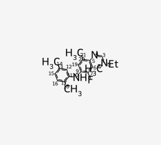 CCN(C)/C=N\c1cc(F)c(Nc2cc(C)ccc2C)cc1C